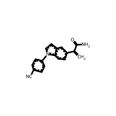 C=C(C(N)=O)c1ccc2c(ccn2-c2ccc(C#N)cc2)c1